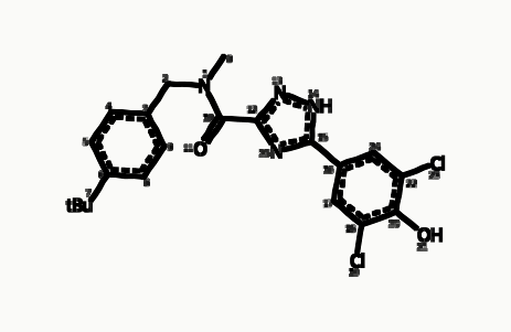 CN(Cc1ccc(C(C)(C)C)cc1)C(=O)c1n[nH]c(-c2cc(Cl)c(O)c(Cl)c2)n1